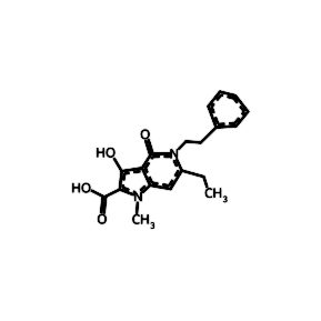 CCc1cc2c(c(O)c(C(=O)O)n2C)c(=O)n1CCc1ccccc1